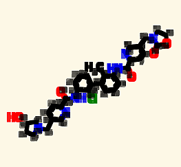 Cc1c(NC(=O)c2ccc(CN3CCOC3=O)cn2)cccc1-c1cccc(NC(=O)c2ccc(CN3CC[C@H](O)C3)cn2)c1Cl